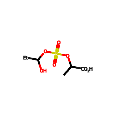 CCC(O)OS(=O)(=O)OC(C)C(=O)O